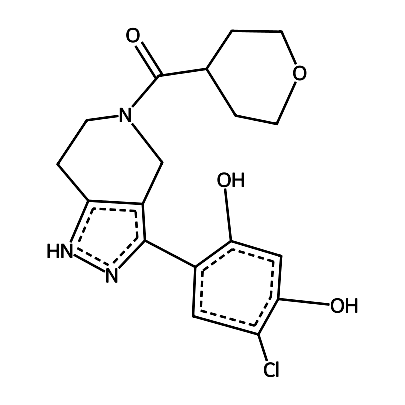 O=C(C1CCOCC1)N1CCc2[nH]nc(-c3cc(Cl)c(O)cc3O)c2C1